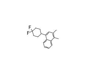 Cc1cc(C2CCC(F)(F)CC2)c2ccccc2c1C